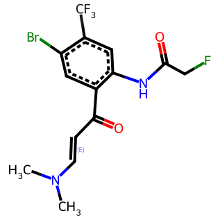 CN(C)/C=C/C(=O)c1cc(Br)c(C(F)(F)F)cc1NC(=O)CF